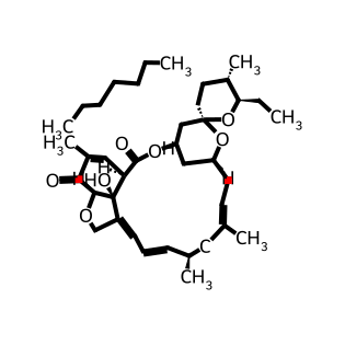 CCCCCCC.CC[C@H]1O[C@]2(CC[C@@H]1C)C[C@@H]1C[C@@H](C/C=C(\C)C[C@@H](C)/C=C/C=C3\CO[C@@H]4C(=O)C(C)=C[C@@H](C(=O)O1)[C@]34O)O2